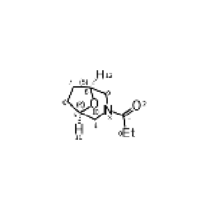 CCC(=O)N1C[C@H]2CC[C@@H](C1)O2